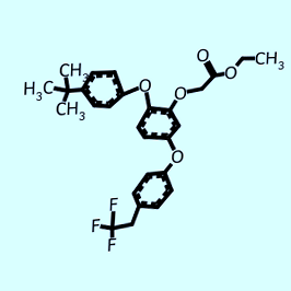 CCOC(=O)COc1cc(Oc2ccc(CC(F)(F)F)cc2)ccc1Oc1ccc(C(C)(C)C)cc1